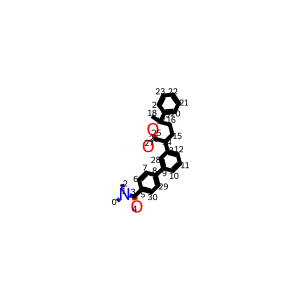 CN(C)C(=O)c1ccc(-c2cccc(C3CCC(C)(c4ccccc4)OC3=O)c2)cc1